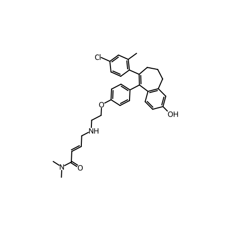 Cc1cc(Cl)ccc1C1=C(c2ccc(OCCNC/C=C/C(=O)N(C)C)cc2)c2ccc(O)cc2CCC1